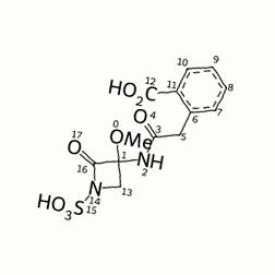 COC1(NC(=O)Cc2ccccc2C(=O)O)CN(S(=O)(=O)O)C1=O